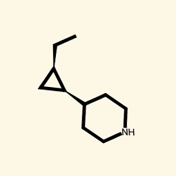 CC[C@@H]1C[C@@H]1C1CCNCC1